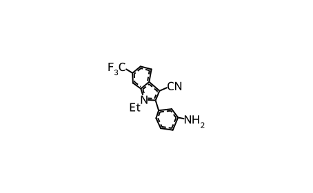 CCn1c(-c2cccc(N)c2)c(C#N)c2ccc(C(F)(F)F)cc21